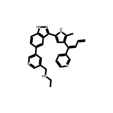 C=C/C=C(/c1cccnc1)c1cc(-c2n[nH]c3ccc(-c4cncc(CNCC)c4)cc23)[nH]c1C